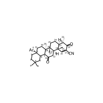 CC(=O)[C@]12CCC(C)(C)CC1C1C(=O)C[C@@H]3[C@@]4(C)C=C(C#N)C(=O)[C@@H](C)[C@@H]4CC[C@@]3(C)[C@]1(C)CC2